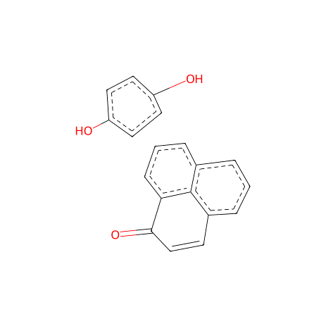 O=C1C=Cc2cccc3cccc1c23.Oc1ccc(O)cc1